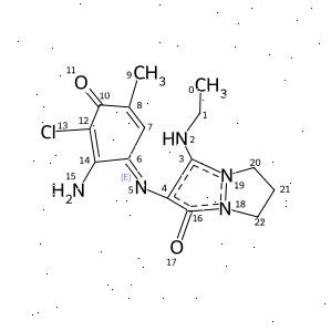 CCNc1c(/N=C2\C=C(C)C(=O)C(Cl)=C2N)c(=O)n2n1CCC2